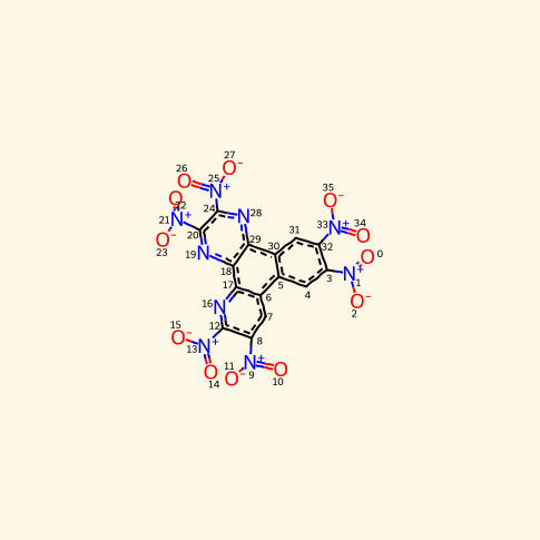 O=[N+]([O-])c1cc2c3cc([N+](=O)[O-])c([N+](=O)[O-])nc3c3nc([N+](=O)[O-])c([N+](=O)[O-])nc3c2cc1[N+](=O)[O-]